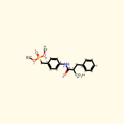 CCOP(=O)(Cc1ccc(NC(=O)C(Cc2ccccc2)C(=O)O)cc1)OCC